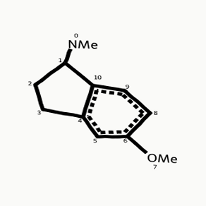 CNC1CCc2cc(OC)ccc21